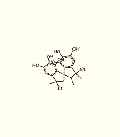 CCC1(C)CC2(c3c1cc(O)c(O)c3O)c1c(cc(O)c(O)c1O)C(C)(CC)C2C